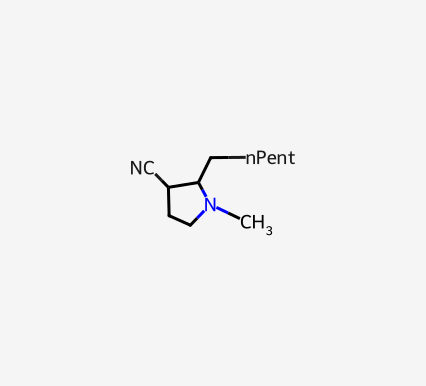 CCCCCCC1C(C#N)CCN1C